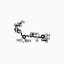 CC(C)c1nc(C(=O)N2CCOC3(CCN(CCc4cccc(CCOCC(CCNCCc5ccc(O)c6c5OCC(=O)N6)C(N)=O)c4)CC3)C2)cs1.O=S(=O)(O)O